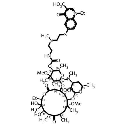 CC[C@H]1OC(=O)[C@H](C)[C@@H](O[C@H]2C[C@@](C)(OC)[C@@H](OC(=O)NCCN(C)CCSc3ccc4c(c3)c(=O)c(C(=O)O)cn4CC)[C@H](C)O2)[C@H](C)[C@@H](O[C@@H]2O[C@H](C)C[C@H](N(C)C)[C@H]2O)[C@](C)(OC)C[C@@H](C)C(=O)[C@H](C)[C@@H](O)[C@]1(C)O